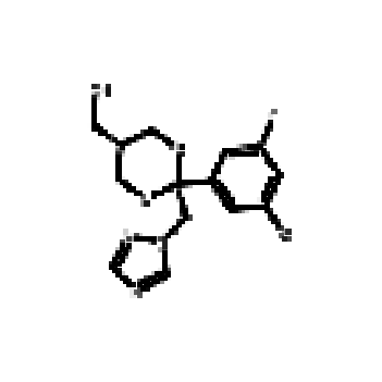 OC[C@H]1CO[C@](Cn2cncn2)(c2cc(Cl)cc(Cl)c2)OC1